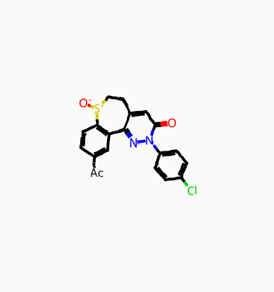 CC(=O)c1ccc2c(c1)-c1nn(-c3ccc(Cl)cc3)c(=O)cc1CC[S+]2[O-]